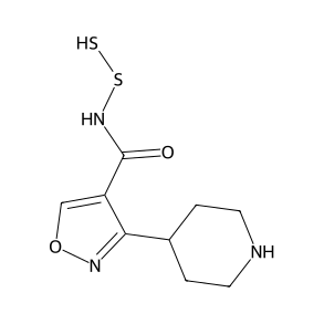 O=C(NSS)c1conc1C1CCNCC1